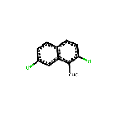 O=Cc1c(Cl)ccc2ccc(Cl)cc12